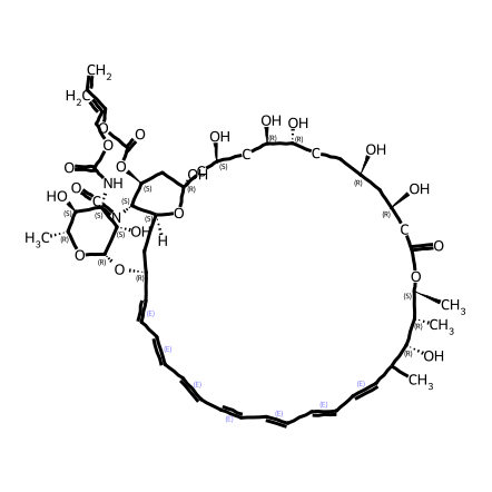 C=CCOC(=O)N[C@@H]1[C@H](O)[C@H](O[C@H]2/C=C/C=C/C=C/C=C/C=C/C=C/C=C/C(C)[C@@H](O)[C@@H](C)[C@H](C)OC(=O)C[C@H](O)C[C@H](O)CC[C@@H](O)[C@H](O)C[C@H](O)C[C@]3(O)C[C@H](OC(=O)OCC=C)[C@@H](N=C=O)[C@H](C2)O3)O[C@H](C)[C@H]1O